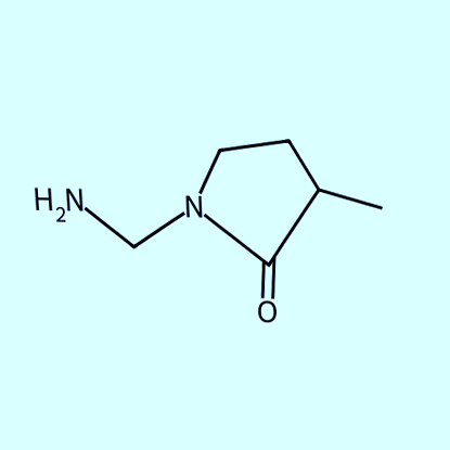 CC1CCN(CN)C1=O